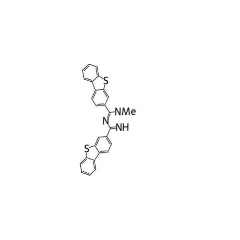 CN/C(=N\C(=N)c1ccc2c(c1)sc1ccccc12)c1ccc2c(c1)sc1ccccc12